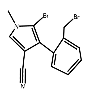 Cn1cc(C#N)c(-c2ccccc2CBr)c1Br